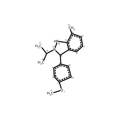 COc1ccc(C2c3cccc(C)c3NN2C(C)C)cc1